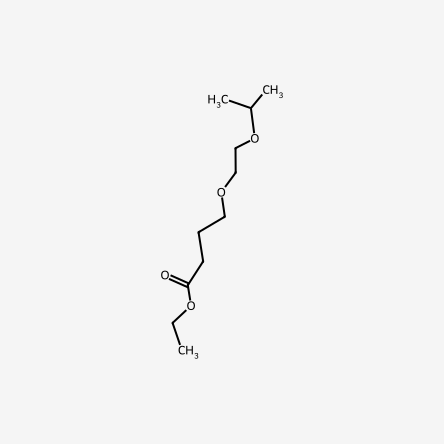 CCOC(=O)CCCOCCOC(C)C